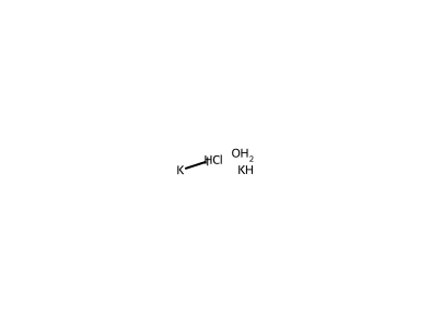 Cl.O.[KH].[K][I]